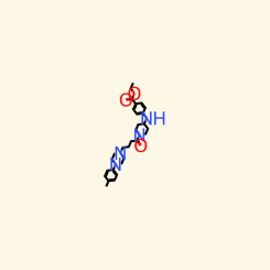 CCOC(=O)c1ccc(NC2CCN(C(=O)CCCN3CCN(c4ccc(C)cc4)CC3)CC2)cc1